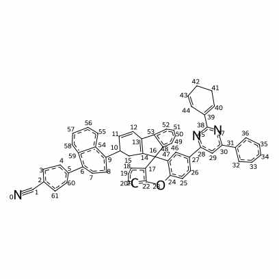 N#Cc1ccc(-c2ccc(C3C=CC4=C(C3)C3(c5ccccc5Oc5ccc(-c6cc(-c7ccccc7)nc(C7=CCCC=C7)n6)cc53)c3ccccc34)c3ccccc23)cc1